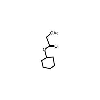 [CH2]C(=O)OCC(=O)OC1CCCCC1